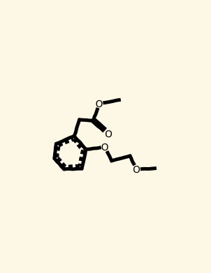 COCCOc1ccccc1CC(=O)OC